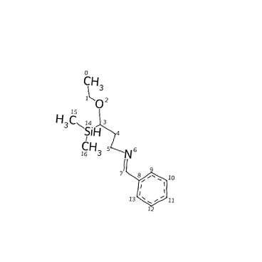 CCOC(CCN=Cc1ccccc1)[SiH](C)C